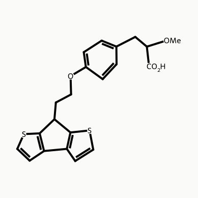 COC(Cc1ccc(OCCC2c3sccc3-c3ccsc32)cc1)C(=O)O